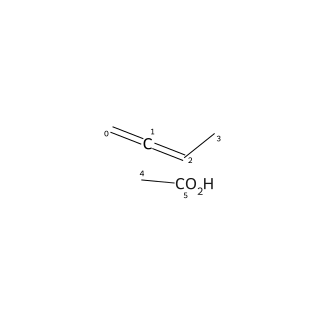 C=C=CC.CC(=O)O